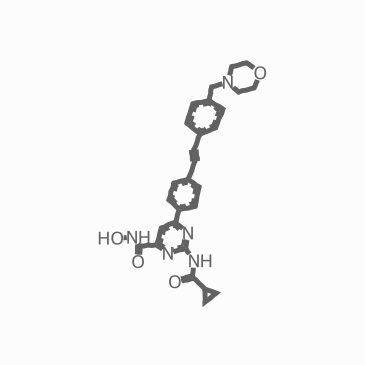 O=C(NO)c1cc(-c2ccc(C#Cc3ccc(CN4CCOCC4)cc3)cc2)nc(NC(=O)C2CC2)n1